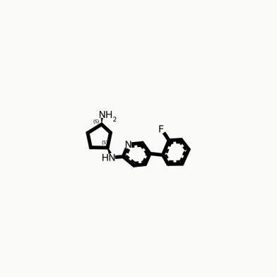 N[C@H]1CC[C@H](Nc2ccc(-c3ccccc3F)cn2)C1